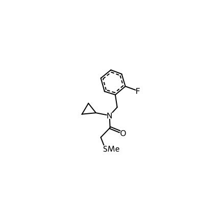 CSCC(=O)N(Cc1ccccc1F)C1CC1